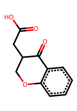 O=C(O)CC1COc2ccccc2C1=O